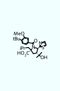 COc1cc(C(=O)N2[C@@H](c3nccs3)[C@H](C(C)(C)O)C[C@]2(CC(C)C)C(=O)O)ccc1C(C)(C)C